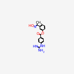 CC(=NO)c1cccc(OC(=O)c2ccc(NC(=N)N)cc2)c1